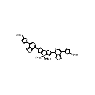 CCCCCCc1ccc(-c2cnc(-c3cc4c(s3)-c3sc(-c5ncc(-c6ccc(CCCCCC)s6)c6nsnc56)cc3S4(CCCCCC)CCCCCC)c3nsnc23)s1